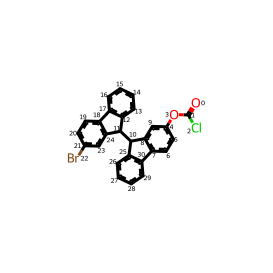 O=C(Cl)Oc1ccc2c(c1)C(C1c3ccccc3-c3ccc(Br)cc31)c1ccccc1-2